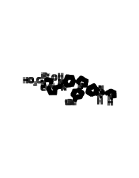 CC(C)[C@@H](C(=O)N1CCCC1c1nc2cc([C@H]3CC[C@H](c4ccc5[nH]c([C@@H]6CCCN6)nc5c4)N3c3ccc(C(C)(C)C)cc3)ccc2[nH]1)N(C)C(=O)O